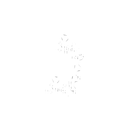 COC(=O)N[C@@H](C(=O)N[C@@H](C)c1ncc(-c2ccc(-c3ccc(-c4cnc([C@@H]5CCCN5C(=O)[C@H](NC(=O)O)c5ccccc5)[nH]4)cn3)cc2)[nH]1)c1ccccc1